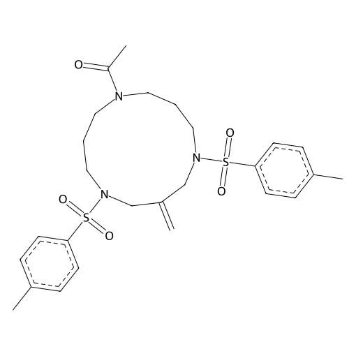 C=C1CN(S(=O)(=O)c2ccc(C)cc2)CCCN(C(C)=O)CCCN(S(=O)(=O)c2ccc(C)cc2)C1